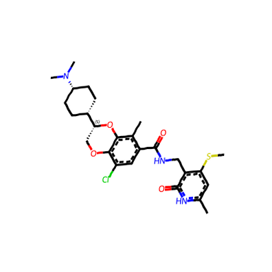 CSc1cc(C)[nH]c(=O)c1CNC(=O)c1cc(Cl)c2c(c1C)O[C@@H]([C@H]1CC[C@@H](N(C)C)CC1)CO2